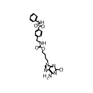 Nc1nc(Cl)nc2c1ncn2CCCCOC(=O)NCc1ccc(S(=O)(=O)Nc2ccccc2)cc1